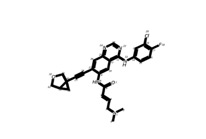 CN(C)CC=CC(=O)Nc1cc2c(Nc3ccc(F)c(Cl)c3)ncnc2cc1C#CC12COCC1C2